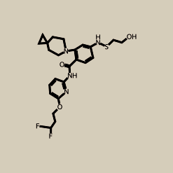 O=C(Nc1cccc(OCCC(F)F)n1)c1ccc(NSCCO)cc1N1CCC2(CC1)CC2